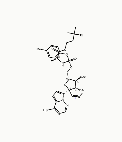 CCC(C)(C)CCOC(=O)[C@H](C)NP(=O)(OC[C@H]1O[C@@](/C=N\C)(c2ccc3c(N)ncnn23)[C@H](OC(C)=O)[C@@H]1OC(C)=O)Oc1ccc(C(C)(C)C)cc1